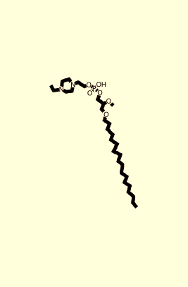 CCCCCCCCCCCCCCCCCCOCC(COP(=O)(O)OCCN1CCN(CC)CC1)OC